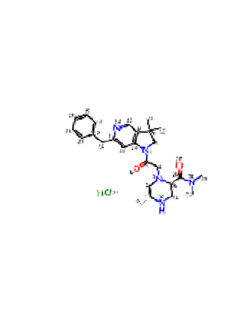 C[C@@H]1CN(CC(=O)N2CC(C)(C)c3cnc(Cc4ccccc4)cc32)[C@@H](C(=O)N(C)C)CN1.Cl